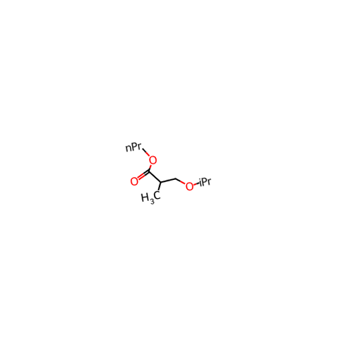 CCCOC(=O)C(C)COC(C)C